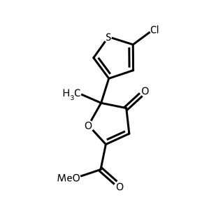 COC(=O)C1=CC(=O)C(C)(c2csc(Cl)c2)O1